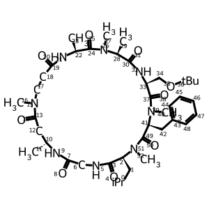 CC(C)C[C@H]1C(=O)NCC(=O)N[C@H](C)CC(=O)N(C)CCC(=O)N[C@@H](C)C(=O)N(C)[C@@H](C)C(=O)N[C@@H](COC(C)(C)C)C(=O)N(C)[C@@H](Cc2ccccc2)C(=O)N1C